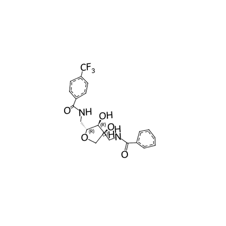 O=C(NC[C@H]1OC[C@@](O)(CNC(=O)c2ccccc2)[C@@H]1O)c1ccc(C(F)(F)F)cc1